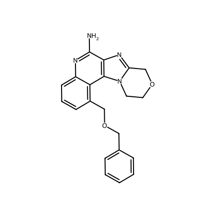 Nc1nc2cccc(COCc3ccccc3)c2c2c1nc1n2CCOC1